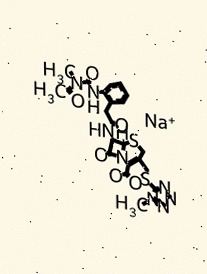 CC(=O)N(C)C(=O)Nc1ccccc1CC(=O)NC1C(=O)N2C(C(=O)[O-])=C(CSc3nnnn3C)CS[C@H]12.[Na+]